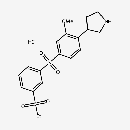 CCS(=O)(=O)c1cccc(S(=O)(=O)c2ccc(C3CCNC3)c(OC)c2)c1.Cl